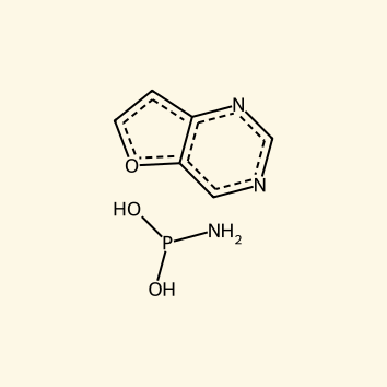 NP(O)O.c1ncc2occc2n1